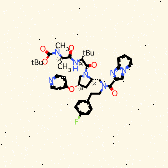 C[C@@H](C(=O)N[C@H](C(=O)N1C[C@@H](Oc2ccncc2)C[C@H]1CN(CCc1ccc(F)cc1)C(=O)c1cn2ccccc2n1)C(C)(C)C)N(C)C(=O)OC(C)(C)C